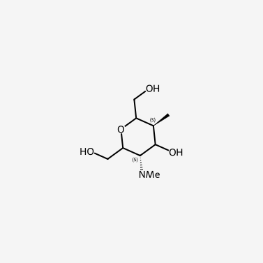 CN[C@@H]1C(CO)OC(CO)[C@@H](C)C1O